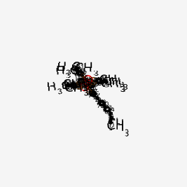 CCCCCC1CCC(c2ccc(C#Cc3ccc(Sc4ccc(Sc5ccc(C(C)(C)C)cc5)c5c4C(=O)c4c(Sc6ccc(C(C)(C)C)cc6)ccc(Sc6ccc(C(C)(C)C)cc6)c4C5=O)cc3)cc2)CC1